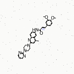 COc1ccc(/C=C/C(=O)Nc2ccc3nc(N4CCN(c5ncccn5)CC4)cc(C)c3c2)cc1OC